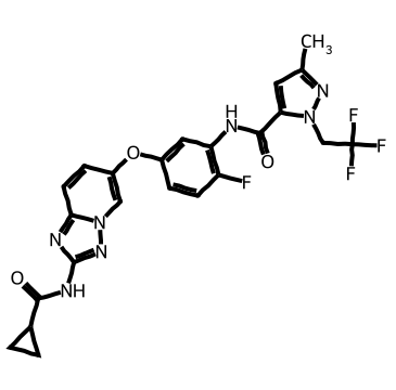 Cc1cc(C(=O)Nc2cc(Oc3ccc4nc(NC(=O)C5CC5)nn4c3)ccc2F)n(CC(F)(F)F)n1